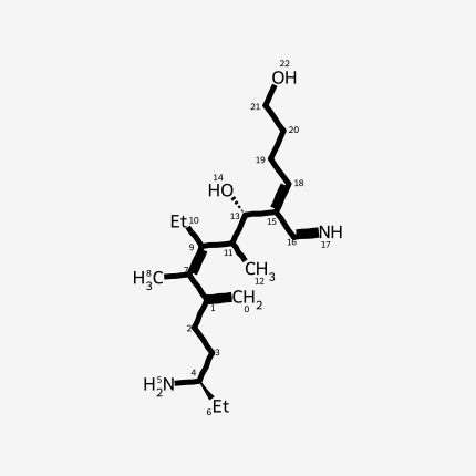 C=C(CC[C@H](N)CC)/C(C)=C(/CC)C(C)[C@H](O)/C(C=N)=C\CCCO